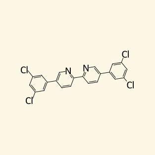 Clc1cc(Cl)cc(-c2ccc(-c3ccc(-c4cc(Cl)cc(Cl)c4)cn3)nc2)c1